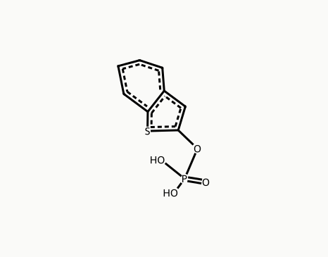 O=P(O)(O)Oc1cc2ccccc2s1